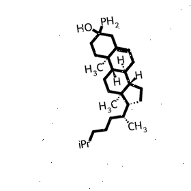 CC(C)CCC[C@@H](C)[C@H]1CC[C@H]2[C@@H]3CC=C4CC(O)(P)CC[C@]4(C)[C@H]3CC[C@]12C